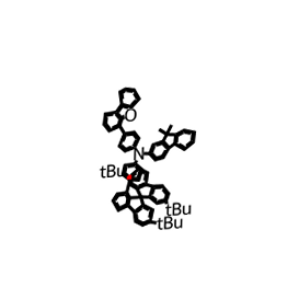 CC(C)(C)c1ccc2c(c1)C1(c3cc(C(C)(C)C)ccc3-2)c2cc(C(C)(C)C)ccc2-c2cccc(-c3ccc(N(c4ccc(-c5cccc6c5oc5ccccc56)cc4)c4ccc5c(c4)C(C)(C)c4ccccc4-5)cc3)c21